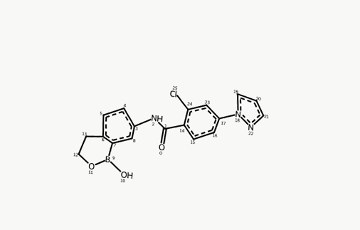 O=C(Nc1ccc2c(c1)B(O)OCC2)c1ccc(-n2cccn2)cc1Cl